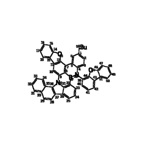 CC(C)(C)c1ccc2c(c1)-c1c3c(cc4c1oc1ccccc14)-n1c4c(cccc4c4ccc5ccccc5c41)B3N2c1cccc2c1oc1ccccc12